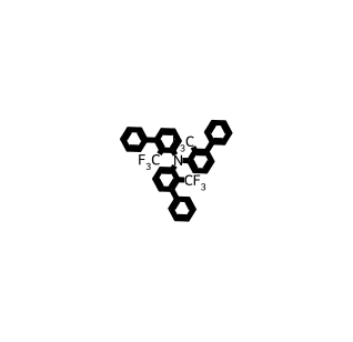 FC(F)(F)c1c(-c2ccccc2)cccc1N(c1cccc(-c2ccccc2)c1C(F)(F)F)c1cccc(-c2ccccc2)c1C(F)(F)F